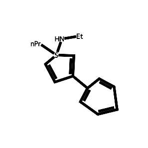 CCCS1(NCC)C=CC(c2ccccc2)=C1